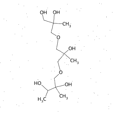 CC(O)C(C)(O)COCC(C)(O)COCC(C)(O)CO